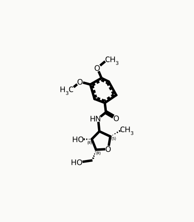 COc1ccc(C(=O)NC2[C@H](C)O[C@H](CO)[C@@H]2O)cc1OC